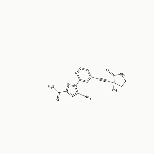 NC(=O)c1cc(N)n(-c2cc(C#C[C@]3(O)CCNC3=O)ccn2)n1